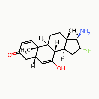 C[C@]12C=CC(=O)C[C@H]1C=C(O)[C@@H]1[C@@H]2CC[C@]2(C)[C@@H](N)[C@H](F)C[C@@H]12